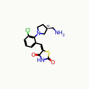 NC[C@@H]1CCN(c2c(Cl)cccc2C=C2SC(=O)NC2=O)C1